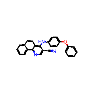 N#Cc1cnc2c(ccc3ccccc32)c1Nc1ccc(Oc2ccccc2)cc1